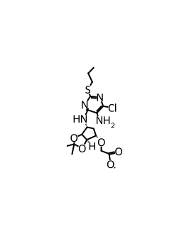 CCCSc1nc(Cl)c(N)c(N[C@@H]2C[C@H](OCC(=O)OC)[C@H]3OC(C)(C)OC23)n1